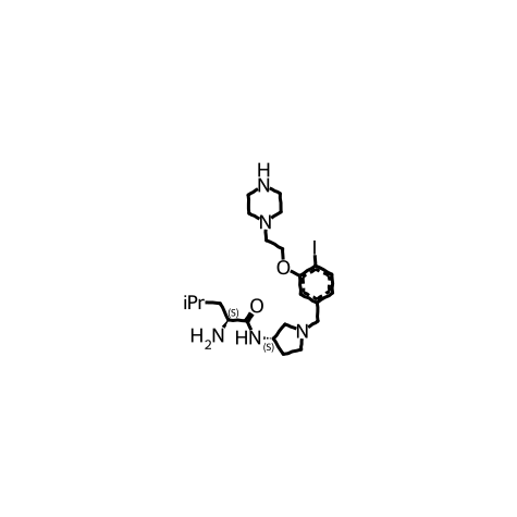 CC(C)C[C@H](N)C(=O)N[C@H]1CCN(Cc2ccc(I)c(OCCN3CCNCC3)c2)C1